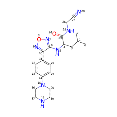 CC(C)CC(Nc1nonc1-c1ccc(N2CCNCC2)cc1)C(=O)NCC#N